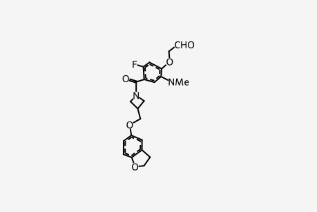 CNc1cc(C(=O)N2CC(COc3ccc4c(c3)CCO4)C2)c(F)cc1OCC=O